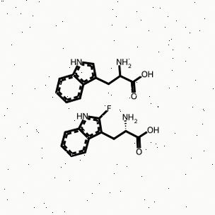 NC(Cc1c[nH]c2ccccc12)C(=O)O.N[C@@H](Cc1c(F)[nH]c2ccccc12)C(=O)O